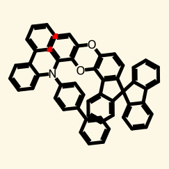 c1ccc(-c2ccc(N(c3ccccc3-c3ccccc3)c3cccc4c3Oc3c(ccc5c3-c3ccccc3C53c5ccccc5-c5ccccc53)O4)cc2)cc1